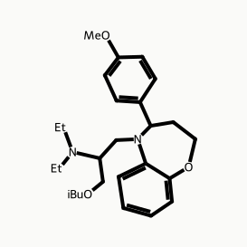 CCN(CC)C(COCC(C)C)CN1c2ccccc2OCCC1c1ccc(OC)cc1